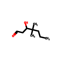 CCCC(C)(C)C(O)CC=O